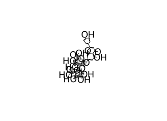 O=C(O)[C@@H]1O[C@H](O[C@@H]2[C@@H](Oc3cc(O)c4c(=O)cc(-c5ccc(O)cc5)oc4c3)O[C@@H](C(=O)O)[C@H](O)[C@H]2O)[C@@H](O)[C@H](O)[C@H]1O